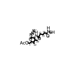 CC(=O)OCC1OC(N=[N+]=[N-])C(NC(=O)CCCC(=O)NS)C(C)C1C